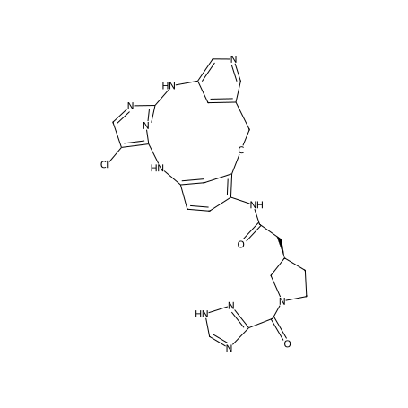 O=C(C[C@H]1CCN(C(=O)c2nc[nH]n2)C1)Nc1ccc2cc1CCc1cncc(c1)Nc1ncc(Cl)c(n1)N2